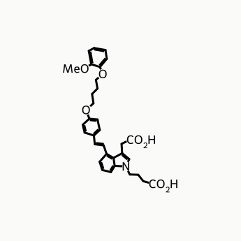 COc1ccccc1OCCCCOc1ccc(C=Cc2cccc3c2c(CC(=O)O)cn3CCCC(=O)O)cc1